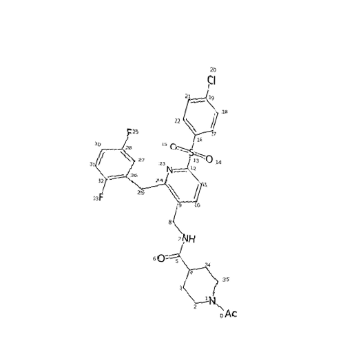 CC(=O)N1CCC(C(=O)NCc2ccc(S(=O)(=O)c3ccc(Cl)cc3)nc2Cc2cc(F)ccc2F)CC1